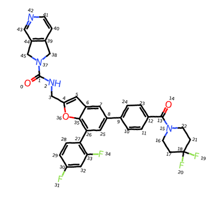 O=C(NCc1cc2cc(-c3ccc(C(=O)N4CCC(F)(F)CC4)cc3)cc(-c3ccc(F)cc3F)c2o1)N1Cc2ccncc2C1